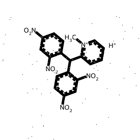 C[n+]1ccccc1C(c1ccc([N+](=O)[O-])cc1[N+](=O)[O-])c1ccc([N+](=O)[O-])cc1[N+](=O)[O-].[H+]